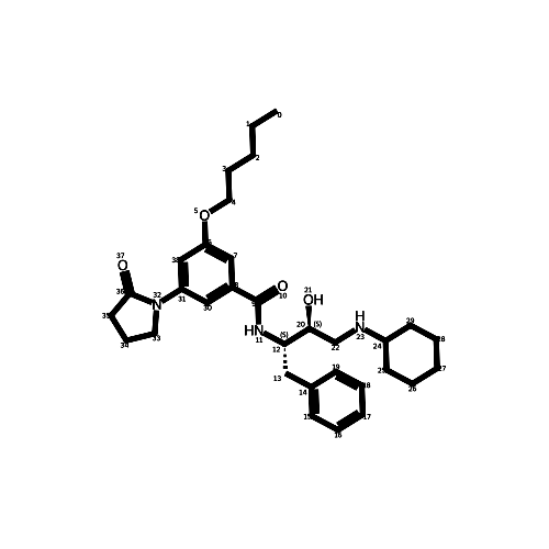 CCCCCOc1cc(C(=O)N[C@@H](Cc2ccccc2)[C@@H](O)CNC2CCCCC2)cc(N2CCCC2=O)c1